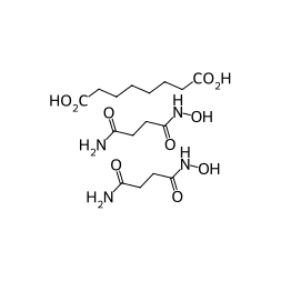 NC(=O)CCC(=O)NO.NC(=O)CCC(=O)NO.O=C(O)CCCCCCC(=O)O